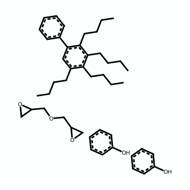 C(OCC1CO1)C1CO1.CCCCc1cc(-c2ccccc2)c(CCCC)c(CCCC)c1CCCC.Oc1ccccc1.Oc1ccccc1